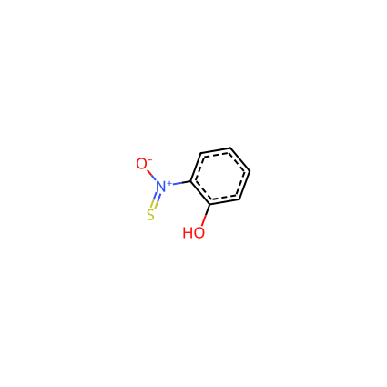 [O-][N+](=S)c1ccccc1O